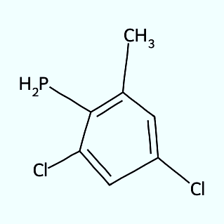 Cc1cc(Cl)cc(Cl)c1P